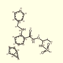 CCC(NS(C)(=O)=O)ONC(=O)c1ccccc1NCc1ccncc1.c1cc2cc-2c1